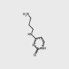 NCCCNc1cc[nH]c(=O)n1